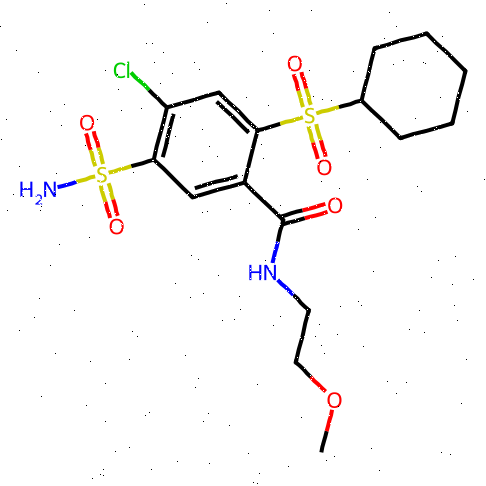 COCCNC(=O)c1cc(S(N)(=O)=O)c(Cl)cc1S(=O)(=O)C1CCCCC1